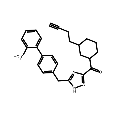 C#CCCC1CCCC(C(=O)c2n[nH]c(Cc3ccc(-c4ccccc4C(=O)O)cc3)n2)C1